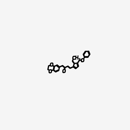 CCC1C(CCC(=O)Cc2ccc3c(c2)OCCO3)=CC=C1COc1ccccc1